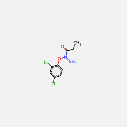 CCC(=O)N(N)Oc1ccc(Cl)cc1Cl